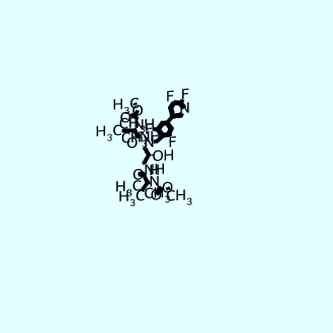 COC(=O)NC(C(=O)NC[C@@H](O)CN(Cc1c(F)cc(-c2cnc(F)c(F)c2)cc1F)NC(=O)[C@@H](NC(=O)OC)C(C)(C)C)C(C)(C)C